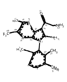 COc1ccc(C)c(-n2c(N)c(C(N)=O)c3nc(O)c(C(F)(F)F)nc32)c1C